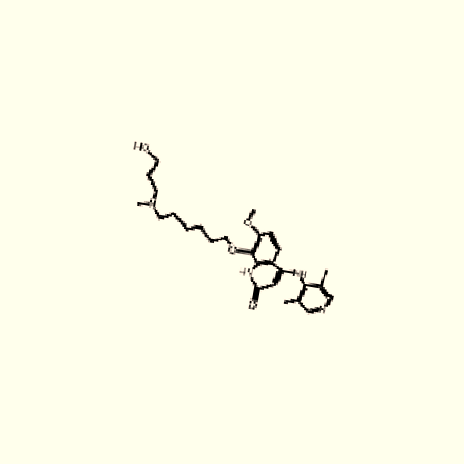 COc1ccc2c(Nc3c(C)cncc3C)cc(=O)[nH]c2c1OCCCCCCN(C)CCCO